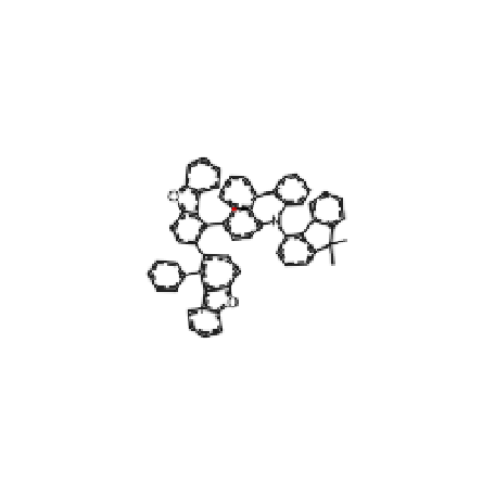 CC1(C)c2ccccc2-c2c(N(c3ccc(-c4c(-c5ccc6oc7ccccc7c6c5-c5ccccc5)ccc5oc6ccccc6c45)cc3)c3ccccc3-c3ccccc3)cccc21